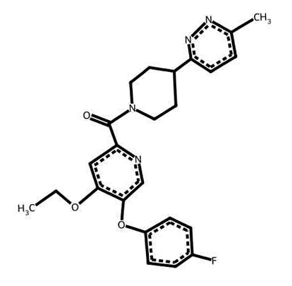 CCOc1cc(C(=O)N2CCC(c3ccc(C)nn3)CC2)ncc1Oc1ccc(F)cc1